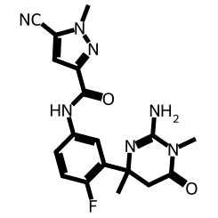 CN1C(=O)CC(C)(c2cc(NC(=O)c3cc(C#N)n(C)n3)ccc2F)N=C1N